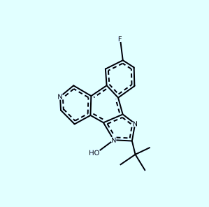 CC(C)(C)c1nc2c3ccc(F)cc3c3cnccc3c2n1O